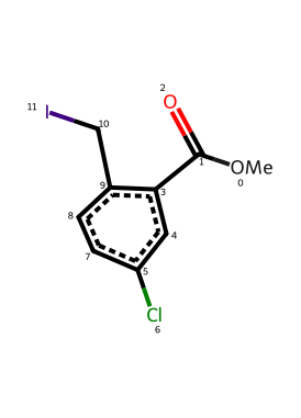 COC(=O)c1cc(Cl)ccc1CI